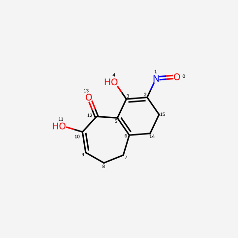 O=NC1=C(O)C2=C(CCC=C(O)C2=O)CC1